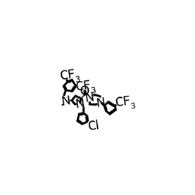 CN(Cc1cc(C(F)(F)F)cc(C(F)(F)F)c1)[C@H]1C[C@@H](C(=O)N2CCN(c3cccc(C(F)(F)F)c3)CC2)N(Cc2cccc(Cl)c2)C1